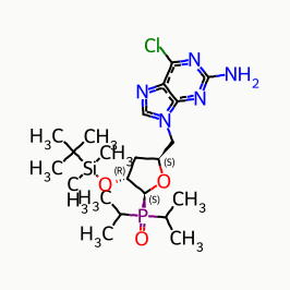 CC(C)P(=O)(C(C)C)[C@@H]1O[C@H](Cn2cnc3c(Cl)nc(N)nc32)C[C@H]1O[Si](C)(C)C(C)(C)C